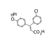 CCCOc1ccc(C(=CC(=O)O)c2cccc(Cl)c2)cc1